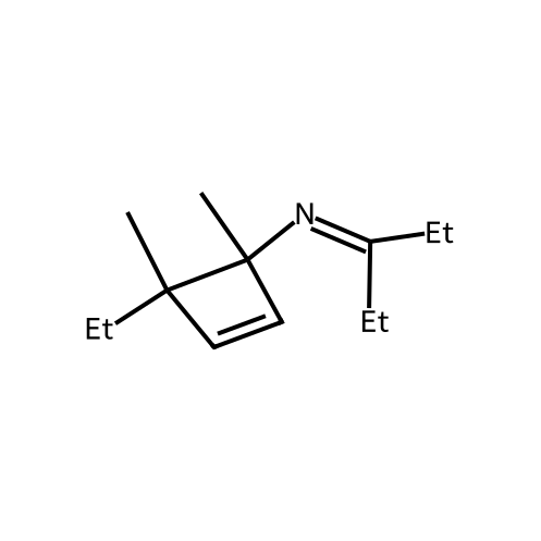 CCC(CC)=NC1(C)C=CC1(C)CC